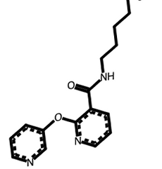 CCCCCNC(=O)c1cccnc1Oc1cccnc1